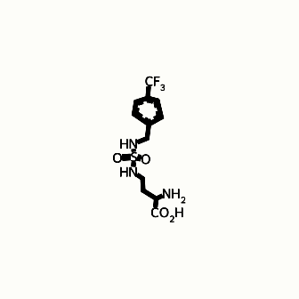 NC(CCNS(=O)(=O)NCc1ccc(C(F)(F)F)cc1)C(=O)O